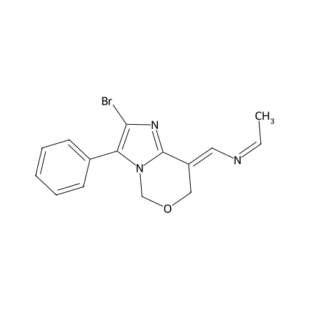 C/C=N\C=C1/COCn2c1nc(Br)c2-c1ccccc1